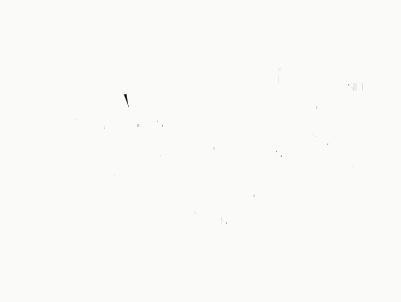 C[C@@H](NC(=O)c1cncc(N2C[C@H]3CNC[C@H]3C2)c1)c1ccccc1